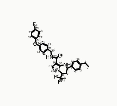 CCc1ccc(C2CC(C(F)(F)F)n3ncc(C(=O)NCc4ccc(Oc5ccc(F)cc5)cc4)c3N2)cc1